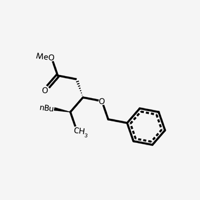 CCCC[C@H](C)[C@H](CC(=O)OC)OCc1ccccc1